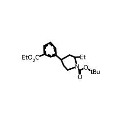 CCOC(=O)c1cccc(C2CCN(C(=O)OC(C)(C)C)C(CC)C2)c1